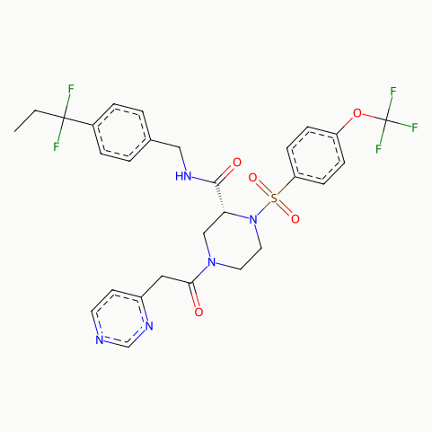 CCC(F)(F)c1ccc(CNC(=O)[C@H]2CN(C(=O)Cc3ccncn3)CCN2S(=O)(=O)c2ccc(OC(F)(F)F)cc2)cc1